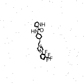 O=C(N[C@H]1CC[C@H](CCN2CCN(c3cccc(C(F)(F)F)c3F)CC2)CC1)[C@@H]1CCCN1